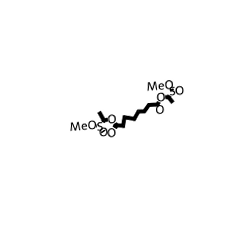 COS(=O)C(C)OC(=O)CCCCCCC(=O)OC(C)S(=O)OC